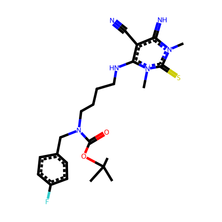 Cn1c(NCCCCN(Cc2ccc(F)cc2)C(=O)OC(C)(C)C)c(C#N)c(=N)n(C)c1=S